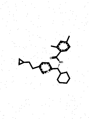 Cc1ccc(C(=O)N[C@@H](c2ccc(CCC3CC3)cc2)C2CCCCC2)c(C)c1